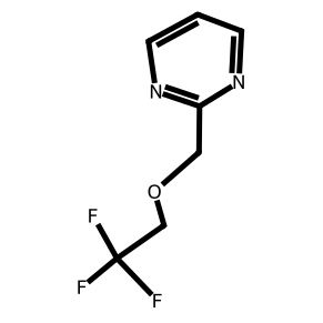 FC(F)(F)COCc1ncccn1